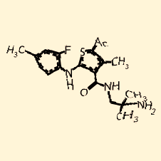 CC(=O)c1sc(Nc2ccc(C)cc2F)c(C(=O)NCC(C)(C)N)c1C